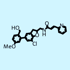 COc1ccc(CO)c(-c2cc(Cl)c3c(c2)CC(CNC(=O)/C=C/c2ccccn2)O3)c1